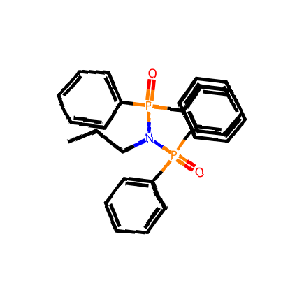 CCCN(P(=O)(c1ccccc1)c1ccccc1)P(=O)(c1ccccc1)c1ccccc1